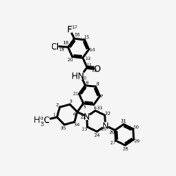 CC1CCC(c2cccc(NC(=O)c3ccc(F)c(Cl)c3)c2)(N2CCN(c3ccccc3)CC2)CC1